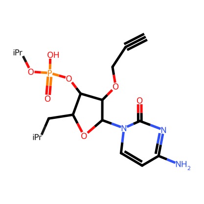 C#CCOC1C(OP(=O)(O)OC(C)C)C(CC(C)C)OC1n1ccc(N)nc1=O